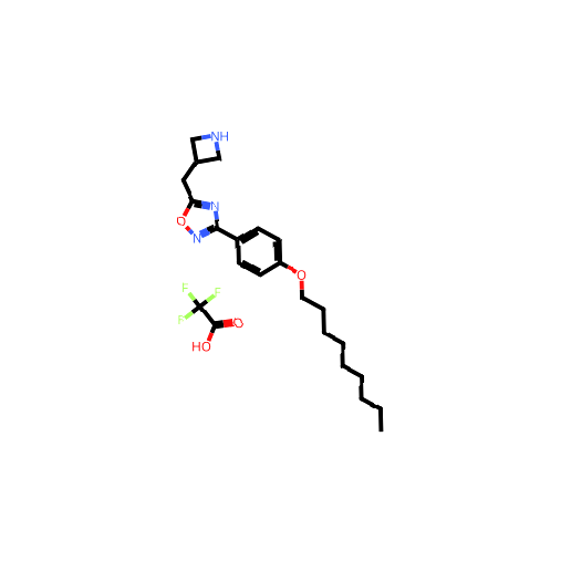 CCCCCCCCCOc1ccc(-c2noc(CC3CNC3)n2)cc1.O=C(O)C(F)(F)F